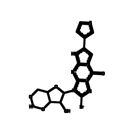 O=c1c2nc(Br)n(C3OC4COPOC4C3O)c2nc2[nH]c(-c3ccsc3)cn12